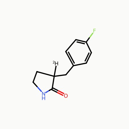 [2H]C1(Cc2ccc(F)cc2)CCNC1=O